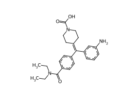 CCN(CC)C(=O)c1ccc(C(=C2CCN(C(=O)O)CC2)c2cccc(N)c2)cc1